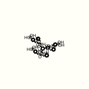 O=C(N[C@@H](Cc1ccccc1)C(=O)NCc1ccc(B(O)O)cc1)C1CC(C(=O)N[C@@H](Cc2ccccc2)C(=O)NCc2ccc(B(O)O)cc2)CC(C(=O)N[C@@H](Cc2ccccc2)C(=O)NCc2ccc(B(O)O)cc2)C1